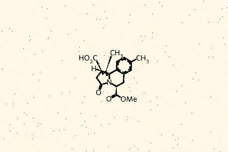 COC(=O)[C@@H]1Cc2cc(C)ccc2[C@@]23C[C@H](C)[C@@H](C(=O)O)[C@@H]2CC(=O)N13